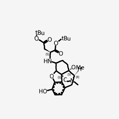 CO[C@@]12CCC(N[C@@H](CC(=O)OC(C)(C)C)C(=O)OC(C)(C)C)C3Oc4c(O)ccc5c4[C@@]31CCN(C)[C@@H]2C5